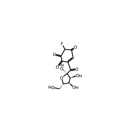 O=C1C(=O)C(F)C(=O)C=C1C(=O)[C@]1(O)O[C@@H](CO)[C@H](O)[C@@H]1O